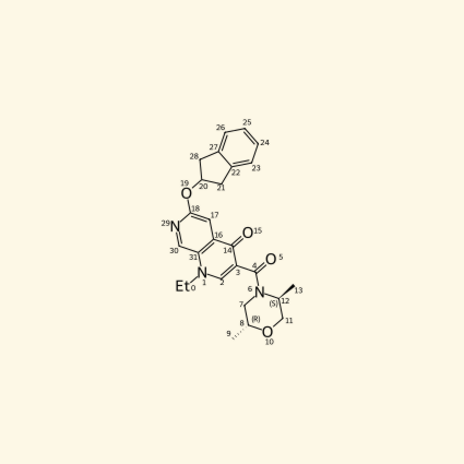 CCn1cc(C(=O)N2C[C@@H](C)OC[C@@H]2C)c(=O)c2cc(OC3Cc4ccccc4C3)ncc21